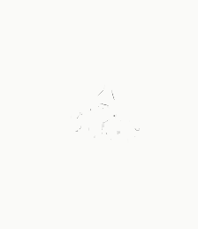 O=C(O)C(=O)[C@H]1CN(CC2CCOCC2)C(=O)[C@@H]1Cc1ccccc1